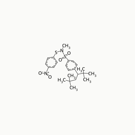 CN(Sc1ccc([N+](=O)[O-])cc1)S(=O)(=O)c1ccc(C(CC(C)(C)C)C(C)(C)C)cc1